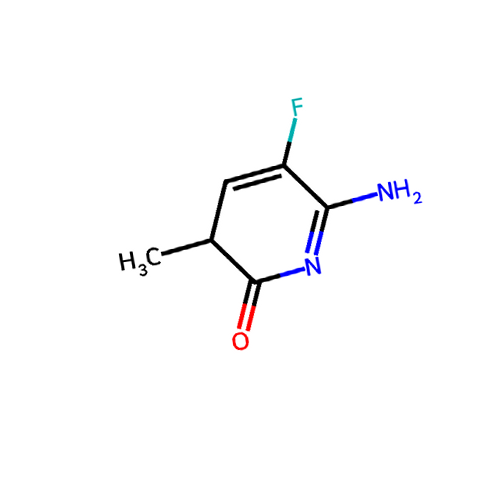 CC1C=C(F)C(N)=NC1=O